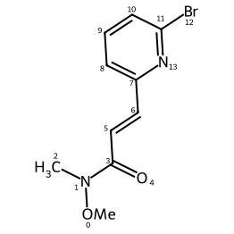 CON(C)C(=O)C=Cc1cccc(Br)n1